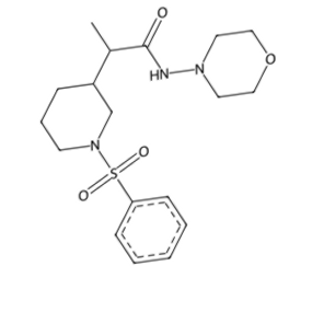 CC(C(=O)NN1CCOCC1)C1CCCN(S(=O)(=O)c2ccccc2)C1